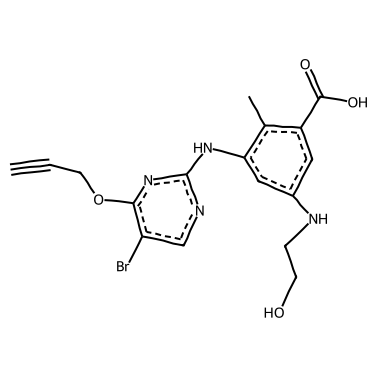 C#CCOc1nc(Nc2cc(NCCO)cc(C(=O)O)c2C)ncc1Br